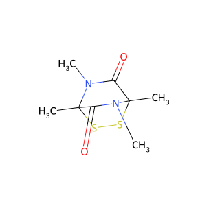 CN1C(=O)C2(C)SSC1(C)C(=O)N2C